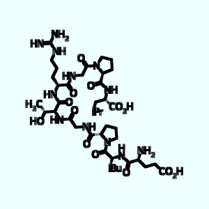 CC[C@H](C)[C@H](NC(=O)[C@@H](N)CCC(=O)O)C(=O)N1CCC[C@H]1C(=O)NCC(=O)N[C@H](C(=O)N[C@@H](CCCNC(=N)N)C(=O)NCC(=O)N1CCC[C@H]1C(=O)N[C@@H](CC(C)C)C(=O)O)[C@@H](C)O